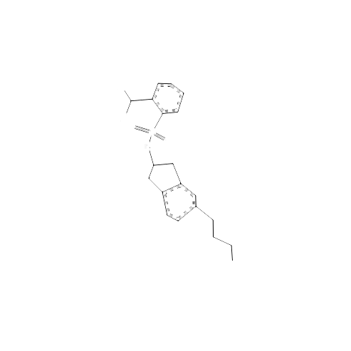 CC(C)c1ccccc1S(=O)(=O)NC1Cc2ccc(CCCO)cc2C1